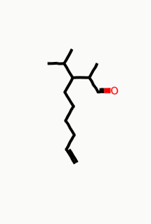 C=CCCCCC(C(C)C)C(C)C=O